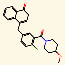 COC1CCN(C(=O)c2cc(CC3=CCC(=O)c4ccccc43)ccc2F)CC1